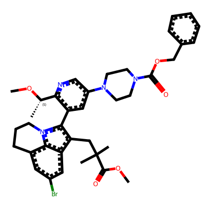 COC(=O)C(C)(C)Cc1c(-c2cc(N3CCN(C(=O)OCc4ccccc4)CC3)cnc2[C@H](C)OC)n2c3c(cc(Br)cc13)CCC2